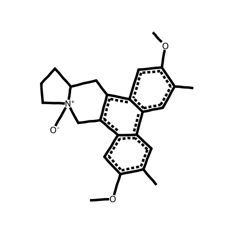 COc1cc2c3c(c4cc(OC)c(C)cc4c2cc1C)C[N+]1([O-])CCCC1C3